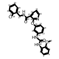 COc1ccccc1NC(=O)Nc1cccc(Oc2ncccc2C(=O)NCc2ccccc2Cl)c1